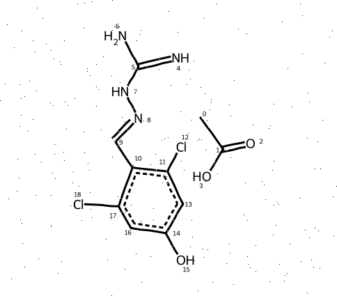 CC(=O)O.N=C(N)N/N=C/c1c(Cl)cc(O)cc1Cl